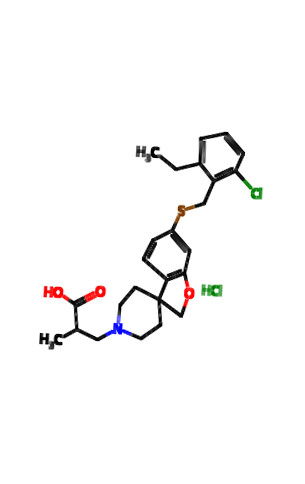 CCc1cccc(Cl)c1CSc1ccc2c(c1)OCC21CCN(CC(C)C(=O)O)CC1.Cl